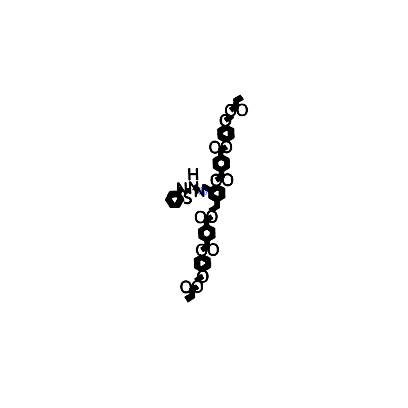 C=CC(=O)OCOc1ccc(OC(=O)C2CCC(C(=O)OCCc3ccc(OC(=O)C4CCC(C(=O)Oc5ccc(OCOC(=O)C=C)cc5)CC4)c(/C=N/Nc4nc5ccccc5s4)c3)CC2)cc1